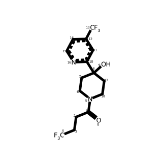 O=C(CCC(F)(F)F)N1CCC(O)(c2cc(C(F)(F)F)ccn2)CC1